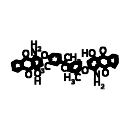 Cc1cc(C(C)(C)c2ccc(Oc3cc(O)c4c(c3N)C(=O)c3ccccc3C4=O)c(C)c2)ccc1Oc1cc(O)c2c(c1N)C(=O)c1ccccc1C2=O